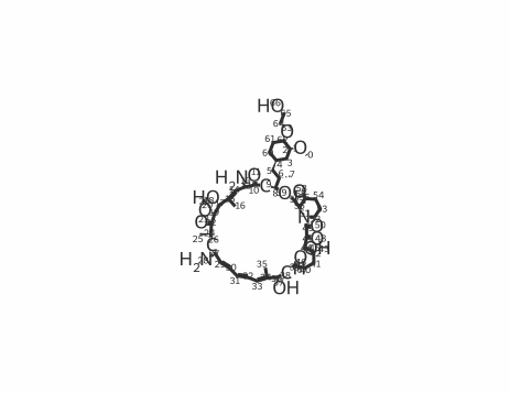 CO[C@@H]1C[C@@H](C[C@H](C)[C@@H]2CC(=O)[C@H](N)/C=C(\C)[C@@H](O)[C@@H](OC)C(=O)[C@H](C)C[C@H](N)/C=C/C=C/C=C(\C)[C@@H](O)C[C@@H]3CC[C@@H](C)[C@@](O)(O3)C(=O)C(=O)N3CCCC[C@H]3C(=O)O2)CC[C@H]1OCCO